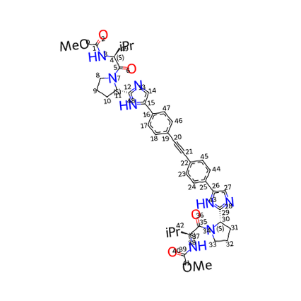 COC(=O)N[C@H](C(=O)N1CCC[C@H]1c1ncc(-c2ccc(C#Cc3ccc(-c4cnc([C@@H]5CCCN5C(=O)[C@@H](NC(=O)OC)C(C)C)[nH]4)cc3)cc2)[nH]1)C(C)C